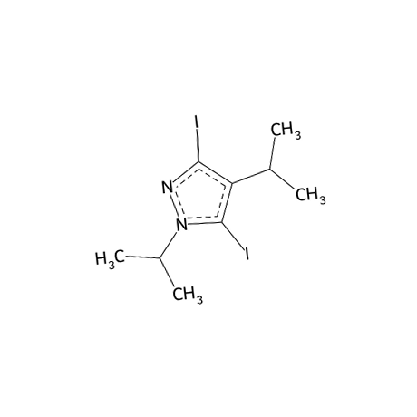 CC(C)c1c(I)nn(C(C)C)c1I